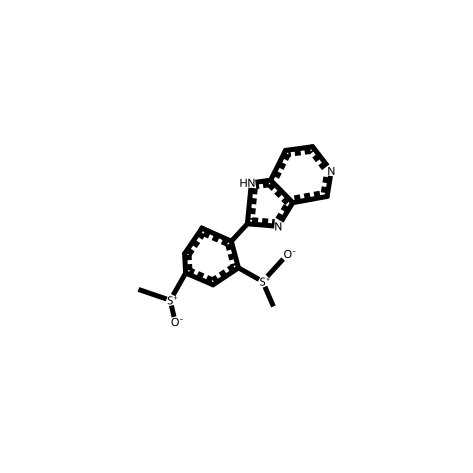 C[S+]([O-])c1ccc(-c2nc3cnccc3[nH]2)c([S+](C)[O-])c1